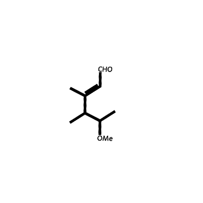 COC(C)C(C)/C(C)=C/C=O